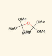 COC(OC)(OC)OC(OC)(OC)OC